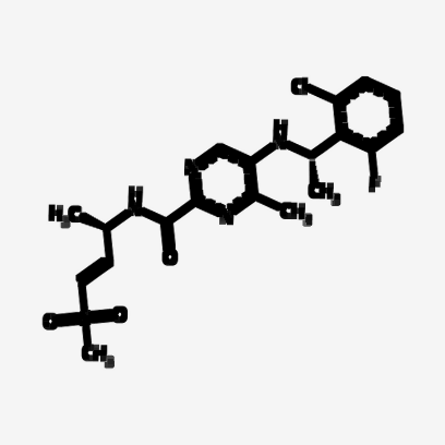 Cc1nc(C(=O)N[C@H](C)/C=C/S(C)(=O)=O)ncc1N[C@@H](C)c1c(F)cccc1Cl